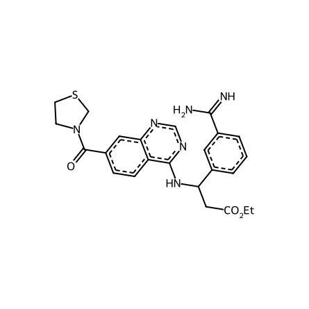 CCOC(=O)CC(Nc1ncnc2cc(C(=O)N3CCSC3)ccc12)c1cccc(C(=N)N)c1